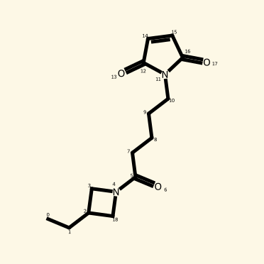 CCC1CN(C(=O)CCCCN2C(=O)C=CC2=O)C1